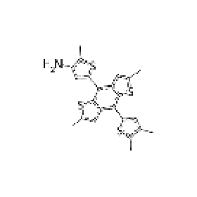 Cc1cc2c(-c3cc(N)c(C)s3)c3sc(C)cc3c(-c3cc(C)c(C)s3)c2s1